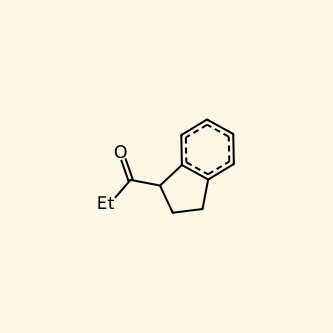 [CH2]CC(=O)C1CCc2ccccc21